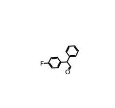 O=CC(c1ccccc1)c1ccc(F)cc1